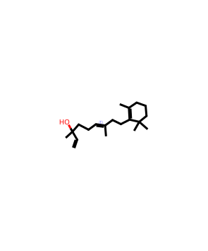 C=CC(C)(O)CC/C=C(\C)CCC1=C(C)CCCC1(C)C